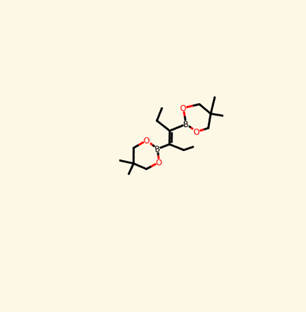 CCC(B1OCC(C)(C)CO1)=C(CC)B1OCC(C)(C)CO1